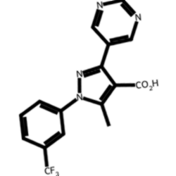 Cc1c(C(=O)O)c(-c2cncnc2)nn1-c1cccc(C(F)(F)F)c1